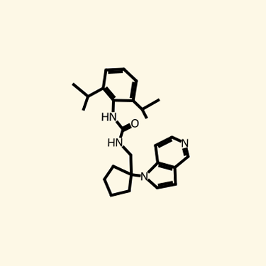 CC(C)c1cccc(C(C)C)c1NC(=O)NCC1(n2ccc3cnccc32)CCCC1